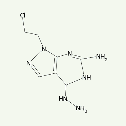 NNC1NC(N)=Nc2c1cnn2CCCl